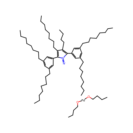 CCCCCCCCC1=C(c2cc(CCCCCCCC)cc(CCCCCCCC)c2)[N+](=[N-])C(c2cc(CCCCCCCC)cc(CCCCCCCC)c2)=C1CCCC.CCCC[O][Pd][O]CCCC